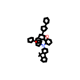 CC1(C)c2ccccc2-c2ccc(N(c3ccc(-c4ccccc4)cc3)c3cccc4oc5c(-c6ccc(-c7ccccc7)cc6)cc6ccccc6c5c34)cc21